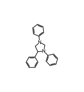 c1ccc(C2CN(c3ccccc3)CN2c2ccccc2)cc1